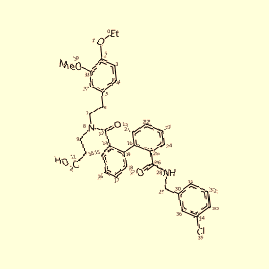 CCOc1ccc(CCN(CCC(=O)O)C(=O)c2ccccc2-c2ccccc2C(=O)NCc2cccc(Cl)c2)cc1OC